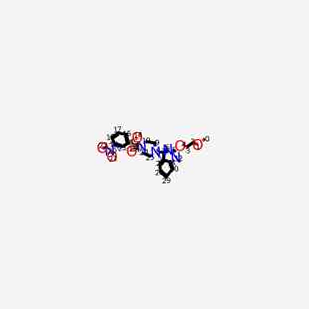 COCCOc1nc(N2CCN(S(=O)(=O)c3cccc([N+](=O)[O-])c3)CC2)c2ccccc2n1